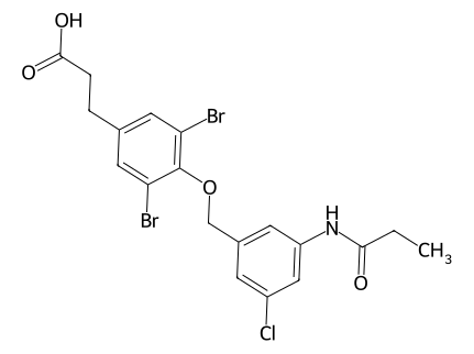 CCC(=O)Nc1cc(Cl)cc(COc2c(Br)cc(CCC(=O)O)cc2Br)c1